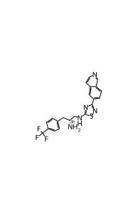 N[C@@H](CNc1nc(-c2ccc3cnccc3c2)ns1)Cc1ccc(C(F)(F)F)cc1